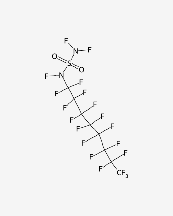 O=S(=O)(N(F)F)N(F)C(F)(F)C(F)(F)C(F)(F)C(F)(F)C(F)(F)C(F)(F)C(F)(F)C(F)(F)F